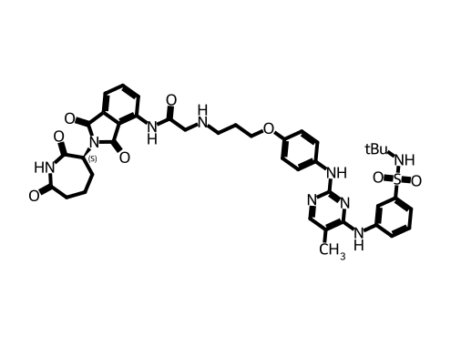 Cc1cnc(Nc2ccc(OCCCNCC(=O)Nc3cccc4c3C(=O)N([C@H]3CCCC(=O)NC3=O)C4=O)cc2)nc1Nc1cccc(S(=O)(=O)NC(C)(C)C)c1